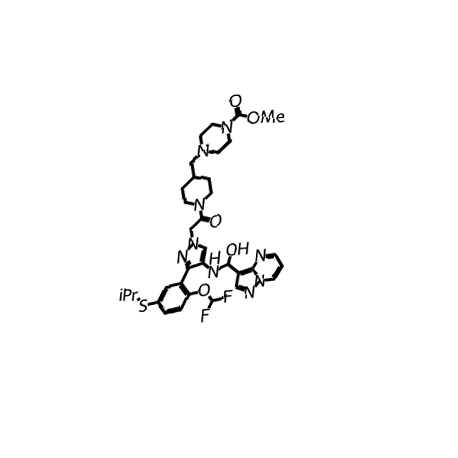 COC(=O)N1CCN(CC2CCN(C(=O)Cn3cc(NC(O)c4cnn5cccnc45)c(-c4cc(SC(C)C)ccc4OC(F)F)n3)CC2)CC1